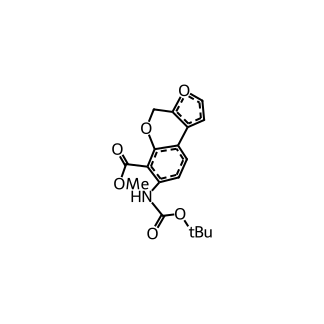 COC(=O)c1c(NC(=O)OC(C)(C)C)ccc2c1OCc1occc1-2